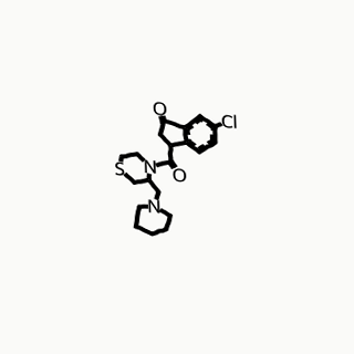 O=C1CC(C(=O)N2CCSCC2CN2CCCCC2)c2ccc(Cl)cc21